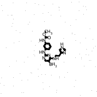 Bc1cnc(Nc2cccc(NC(=O)OC)c2)nc1NCCc1c[nH]cn1